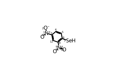 O=[N+]([O-])c1ccc([SeH])c([N+](=O)[O-])c1